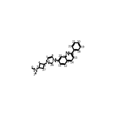 CN(C)C1CC(N2C=CN(c3ccc4ccc(-c5ccccc5)nc4c3)C2)C1